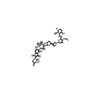 [2H]C1([2H])N(CC2CCC(n3cc(-c4cnc(N)c(O[C@H](C)c5c(Cl)ccc(F)c5Cl)c4)cn3)CC2)C([2H])([2H])C([2H])([2H])N(c2c(F)cc3c(c2F)C(=O)N(C2CCC(=O)NC2=O)C3=O)C1([2H])[2H]